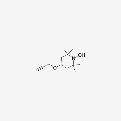 C#CCOC1CC(C)(C)N(O)C(C)(C)C1